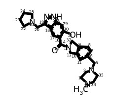 CN1CCN(Cc2ccc3c(c2)CN(C(=O)c2cc4c(CN5CCCC5)n[nH]c4cc2O)C3)CC1